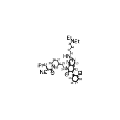 CCN(CC)CCCCNc1ncc2cc(-c3ccccc3Cl)c(=O)n(CCC3CCCN(C(=O)C(C#N)=CC(C)C)C3)c2n1